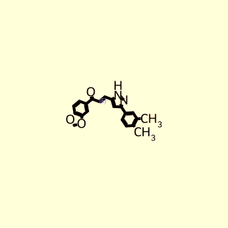 Cc1ccc(-c2cc(/C=C/C(=O)c3ccc4c(c3)OCO4)[nH]n2)cc1C